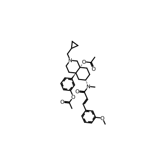 COc1cccc(C=CC(=O)N(C)[C@H]2CC[C@]3(OC(C)=O)CN(CC4CC4)CC[C@@]3(c3cccc(OC(C)=O)c3)C2)c1